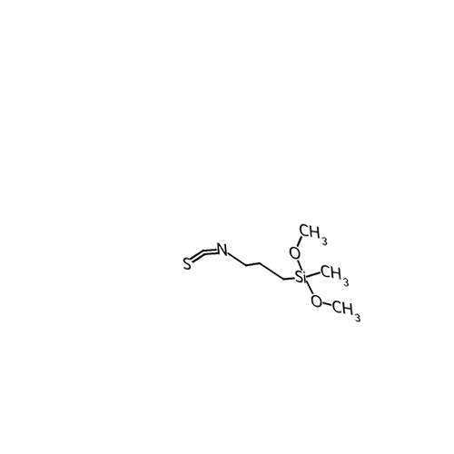 CO[Si](C)(CCCN=C=S)OC